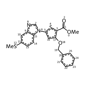 COC(=O)c1sc(-n2cnc3cc(SC)ccc32)cc1OCc1ccccc1